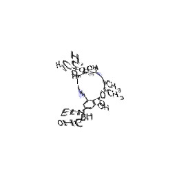 CCN(BC=O)c1cc(O)c2c(c1)/C=C/C[C@@H]1OC(C)(C)O[C@@H]1[C@H](O)/C(F)=C\[C@@H](C)[C@H](C)OC2=O